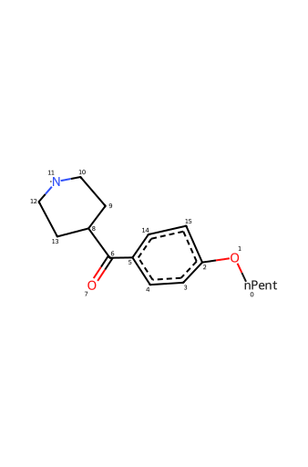 CCCCCOc1ccc(C(=O)C2CC[N]CC2)cc1